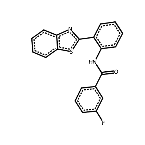 O=C(Nc1ccccc1-c1nc2ccccc2s1)c1cccc(F)c1